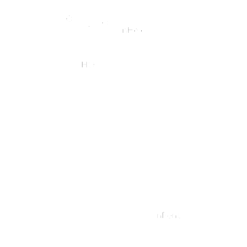 CCCCC/C=C\C/C=C\CCCCCCC[C@H](O)C[C@@]1(CCCCCC)CC(=O)O1